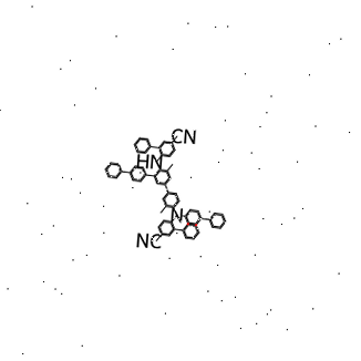 Cc1cc(-c2cc(C)c(Nc3ccc(C#N)cc3-c3ccccc3)c(-c3ccc(-c4ccccc4)cc3)c2)ccc1N(c1ccc(-c2ccccc2)cc1)c1ccc(C#N)cc1-c1ccccc1